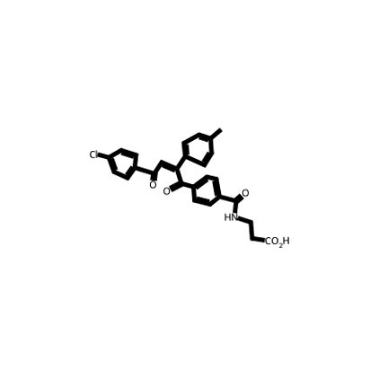 Cc1ccc(C(=CC(=O)c2ccc(Cl)cc2)C(=O)c2ccc(C(=O)NCCC(=O)O)cc2)cc1